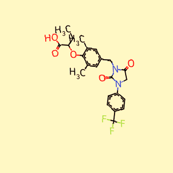 CCC(Oc1c(C)cc(CN2C(=O)CN(c3ccc(C(F)(F)F)cc3)C2=O)cc1C)C(=O)O